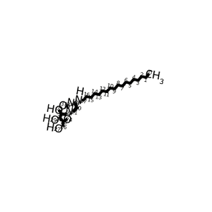 CCCCCCCCCCCCCCCCCCNc1ccn(C2OC(CO)C(O)C2O)c(=O)n1